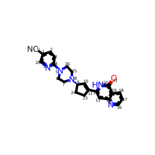 N#Cc1ccc(N2CCN([C@H]3C=C(c4cc5ncccc5c(=O)[nH]4)CC3)CC2)nc1